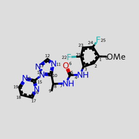 COc1cc(NC(=O)NC(C)c2ncnn2-c2ncccn2)c(F)cc1F